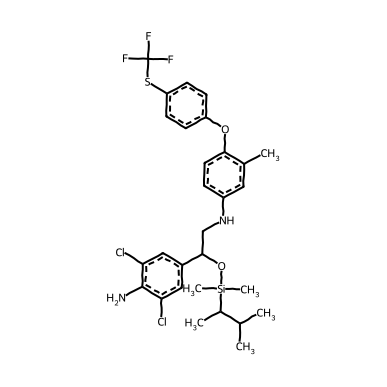 Cc1cc(NCC(O[Si](C)(C)C(C)C(C)C)c2cc(Cl)c(N)c(Cl)c2)ccc1Oc1ccc(SC(F)(F)F)cc1